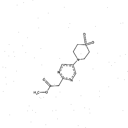 COC(=O)Cc1ncc(N2CCS(=O)(=O)CC2)cn1